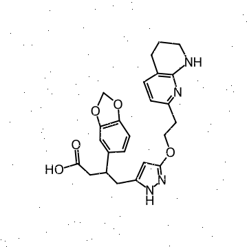 O=C(O)CC(Cc1cc(OCCc2ccc3c(n2)NCCC3)n[nH]1)c1ccc2c(c1)OCO2